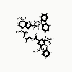 CCCCNc1cc(C(=O)OCC(C)OC(=O)N(CC)[C@H]2C[C@H](C)S(=O)(=O)c3sc(S(=O)(=O)N[Si](c4ccccc4)(c4ccccc4)C(C)(C)C)cc32)cc(S(N)(=O)=O)c1Oc1ccccc1